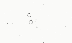 COC(=O)CN(CC(=O)OC)c1ccccc1Oc1ccccc1